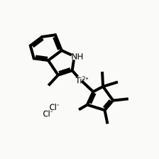 CC1=C(C)C(C)(C)[C]([Ti+2][c]2[nH]c3ccccc3c2C)=C1C.[Cl-].[Cl-]